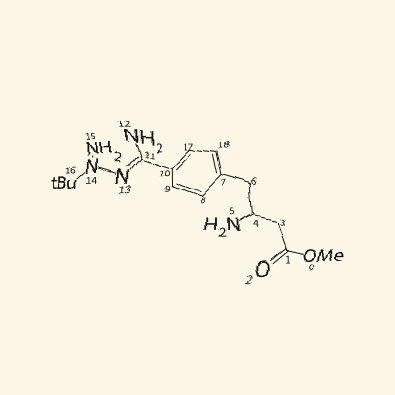 COC(=O)CC(N)Cc1ccc(/C(N)=N/N(N)C(C)(C)C)cc1